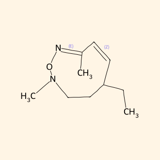 CCC1/C=C\C(C)=N\ON(C)CC1